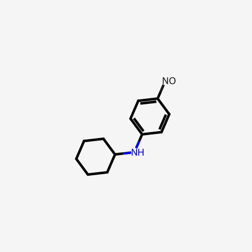 O=Nc1ccc(NC2CCCCC2)cc1